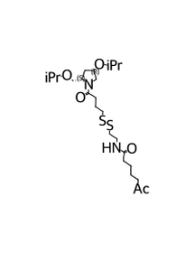 CC(=O)CCCCC(=O)NCCSSCCCC(=O)N1C[C@H](OC(C)C)C[C@H]1COC(C)C